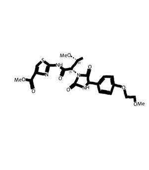 COCCOc1ccc(C2NC(=O)N([C@H](C(=O)Nc3nc(C(=O)OC)cs3)[C@@H](C)OC)C2=O)cc1